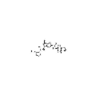 Cn1cccc1C(=O)Nc1n[nH]c2sc(C(=O)NC(C)(C)c3ccccc3)cc12